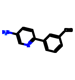 Nc1ccc(-c2cccc(C=O)c2)nc1